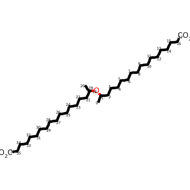 CC(CCCCCCCCCCCCCCCC(=O)O)OC(C)CCCCCCCCCCCCCCCC(=O)O